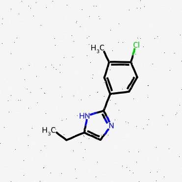 CCc1cnc(-c2ccc(Cl)c(C)c2)[nH]1